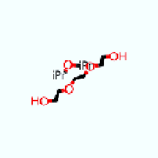 CC(C)OC(C)C.OCCOCCOCCO